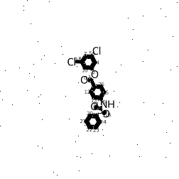 O=C(Oc1cc(Cl)cc(Cl)c1)c1ccc(NS(=O)(=O)c2ccccc2)cc1